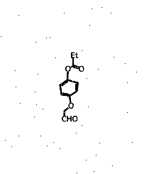 CCC(=O)Oc1ccc(OCC=O)cc1